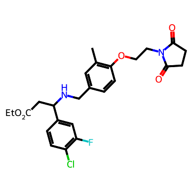 CCOC(=O)CC(NCc1ccc(OCCN2C(=O)CCC2=O)c(C)c1)c1ccc(Cl)c(F)c1